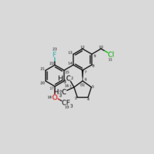 CC1(C)CCC[C@@H]1c1cc(CCl)ccc1-c1cc(OC(F)(F)F)ccc1F